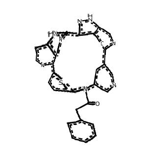 O=C(Cc1ccccc1)n1c2cncc(c2)c2cc3c(cn2)[nH]nc3c2nc3c(ccnc3c3ccc1s3)[nH]2